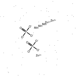 O=P([O-])([O-])[O-].O=P([O-])([O-])[O-].[Mn].[Mn].[Mn].[Zn+2].[Zn+2].[Zn+2]